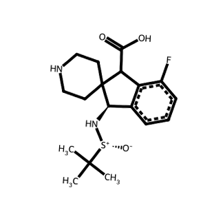 CC(C)(C)[S@@+]([O-])N[C@@H]1c2cccc(F)c2C(C(=O)O)C12CCNCC2